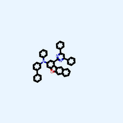 c1ccc(-c2cccc(N(c3ccccc3)c3cc(-c4nc(-c5ccccc5)cc(-c5ccccc5)n4)c4c(c3)oc3cc5ccccc5cc34)c2)cc1